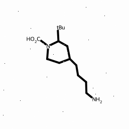 CC(C)(C)C1CC(CCCCN)CCN1C(=O)O